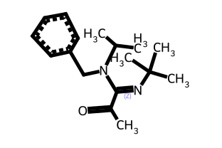 CC(=O)/C(=N/C(C)(C)C)N(Cc1ccccc1)C(C)C